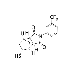 O=C1[C@@H]2[C@H]3C[C@@H]([C@@H]2C(=O)N1c1cccc(C(F)(F)F)c1)[C@H](S)C3